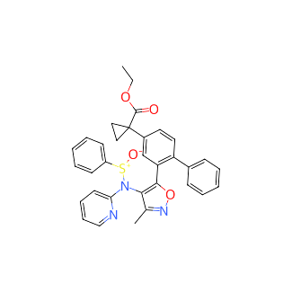 CCOC(=O)C1(c2ccc(-c3ccccc3)c(-c3onc(C)c3N(c3ccccn3)[S+]([O-])c3ccccc3)c2)CC1